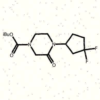 CC(C)COC(=O)N1CCN(C2CCC(F)(F)C2)C(=O)C1